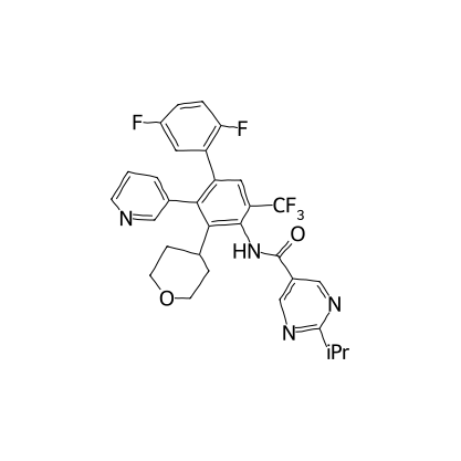 CC(C)c1ncc(C(=O)Nc2c(C(F)(F)F)cc(-c3cc(F)ccc3F)c(-c3cccnc3)c2C2CCOCC2)cn1